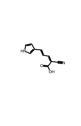 N#CC(=CC=Cc1cc[nH]c1)C(=O)O